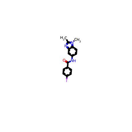 Cc1nc2cc(NC(=O)c3ccc(I)cc3)ccc2n1C